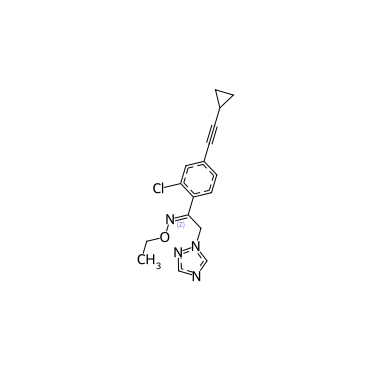 CCO/N=C(\Cn1cncn1)c1ccc(C#CC2CC2)cc1Cl